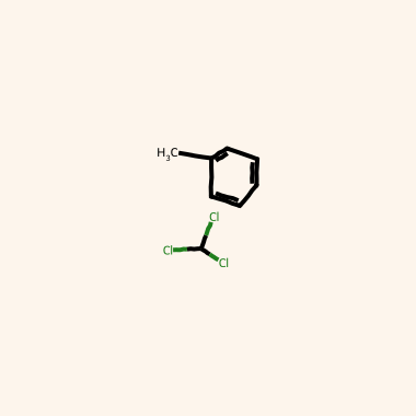 Cc1ccccc1.ClC(Cl)Cl